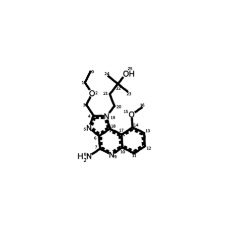 CCOCc1nc2c(N)nc3cccc(OC)c3c2n1CCC(C)(C)O